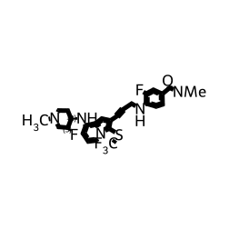 CNC(=O)c1ccc(NCC#Cc2cc3c(N[C@@H]4CCN(C)C[C@@H]4F)cccn3c2SC(F)(F)F)c(F)c1